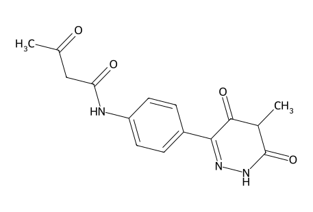 CC(=O)CC(=O)Nc1ccc(C2=NNC(=O)C(C)C2=O)cc1